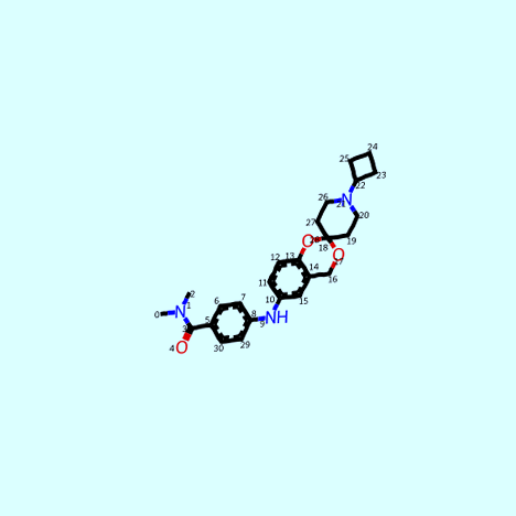 CN(C)C(=O)c1ccc(Nc2ccc3c(c2)COC2(CCN(C4CCC4)CC2)O3)cc1